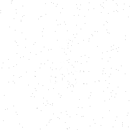 Cc1ccnc(C(C)C)c1-n1c(=O)nc(N2CCN(C(=O)OC(C)(C)C)C[C@@H]2C)c2cc(C#N)c(-c3cccc(F)c3C)nc21